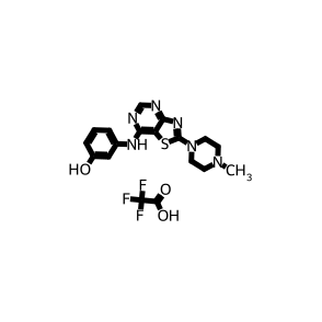 CN1CCN(c2nc3ncnc(Nc4cccc(O)c4)c3s2)CC1.O=C(O)C(F)(F)F